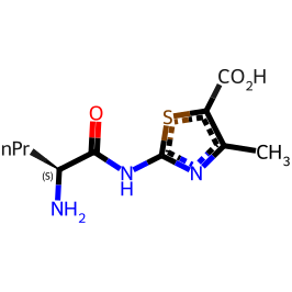 CCC[C@H](N)C(=O)Nc1nc(C)c(C(=O)O)s1